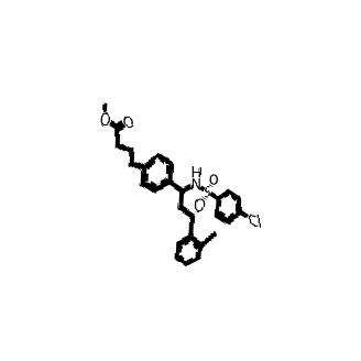 COC(=O)CCCc1ccc(C(CCc2ccccc2C)NS(=O)(=O)c2ccc(Cl)cc2)cc1